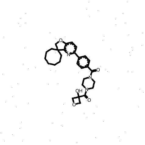 O=C(c1ccc(-c2ccc3c(n2)C2(CCCCCCC2)CO3)cc1)N1CCN(C(=O)C2(O)COC2)CC1